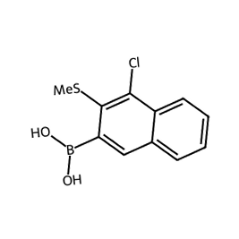 CSc1c(B(O)O)cc2ccccc2c1Cl